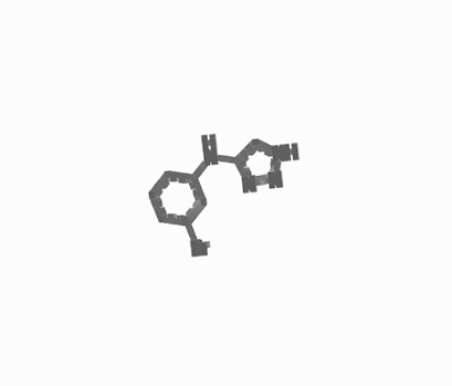 Brc1cccc(Nc2c[nH]nn2)c1